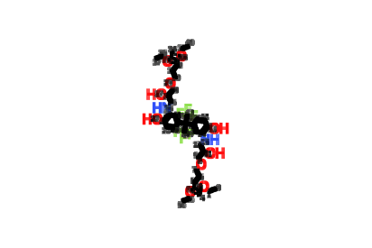 CCO[Si](C)(CCCOCC(O)CNc1cc(C(c2ccc(O)c(NCC(O)COCCC[Si](C)(OCC)OCC)c2)(C(F)(F)F)C(F)(F)F)ccc1O)OCC